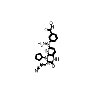 [N-]=[N+]=NC[C@@H]1C(=O)NC2=CC=C(N(N)c3cccc(C(=O)N=O)c3)NC2N1C1CCCC1